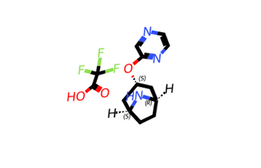 O=C(O)C(F)(F)F.c1cnc(O[C@@H]2C[C@H]3CC[C@@H](C2)N3)cn1